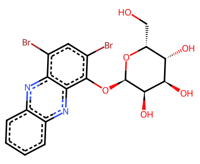 OC[C@H]1O[C@H](Oc2c(Br)cc(Br)c3nc4ccccc4nc23)[C@H](O)[C@H](O)[C@H]1O